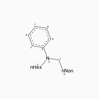 CCCCCCCCCCN(CCCCCC)c1ccccc1